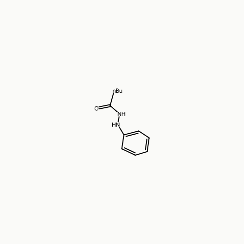 CCCCC(=O)NNc1ccccc1